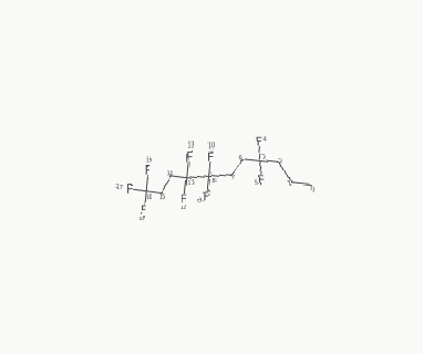 CCCC(F)(F)CCC(F)(F)C(F)(F)CCC(F)(F)F